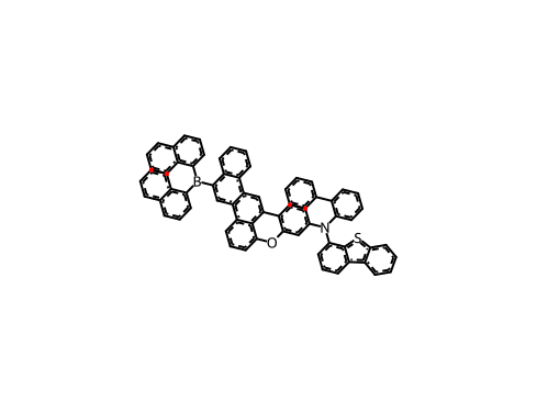 c1ccc(-c2ccccc2N(c2ccc3c(c2)Oc2cccc4c2c-3cc2c3ccccc3c(B(c3cccc5ccccc35)c3cccc5ccccc35)cc42)c2cccc3c2sc2ccccc23)cc1